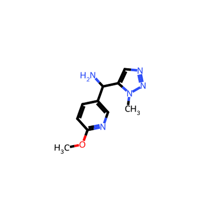 COc1ccc(C(N)c2cnnn2C)cn1